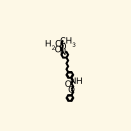 C=C(C)OC(=O)N1CCC(CCCCc2ccc(NC(=O)COCc3ccccc3)cc2)CC1